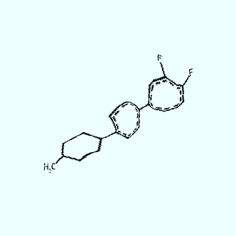 CC1CCC(c2ccc(-c3ccc(F)c(F)c3)cc2)CC1